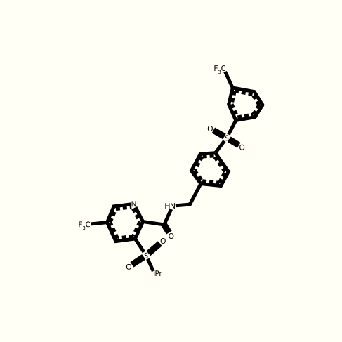 CC(C)S(=O)(=O)c1cc(C(F)(F)F)cnc1C(=O)NCc1ccc(S(=O)(=O)c2cccc(C(F)(F)F)c2)cc1